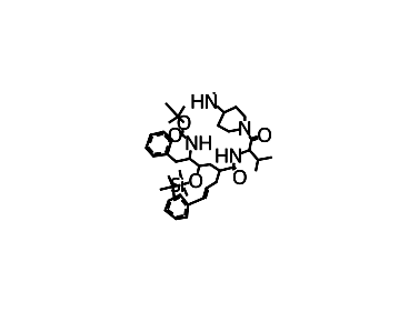 CNC1CCN(C(=O)C(NC(=O)C(CC=Cc2ccccc2)CC(O[Si](C)(C)C(C)(C)C)C(Cc2ccccc2)NC(=O)OC(C)(C)C)C(C)C)CC1